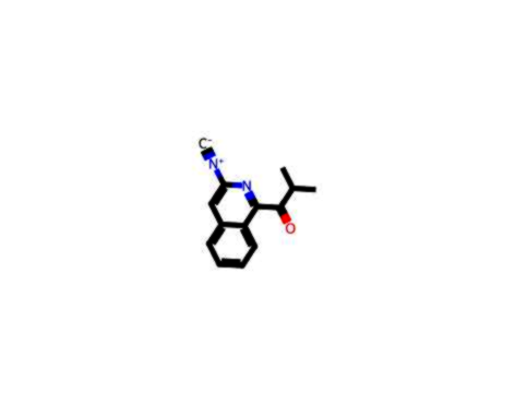 [C-]#[N+]c1cc2ccccc2c(C(=O)C(C)C)n1